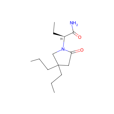 CCCC1(CCC)CC(=O)N([C@@H](CC)C(N)=O)C1